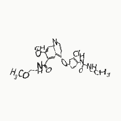 CCNC(=O)Nc1ccc(Oc2ccnc3cc(OC)c(C(=O)NCCOC)cc23)cc1Cl